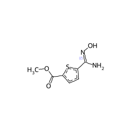 COC(=O)c1ccc(/C(N)=N/O)s1